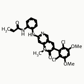 C=CC(=O)Nc1ccccc1Nc1cc2c(cn1)cc(-c1c(Cl)c(OC)cc(OC)c1Cl)c(=O)n2C